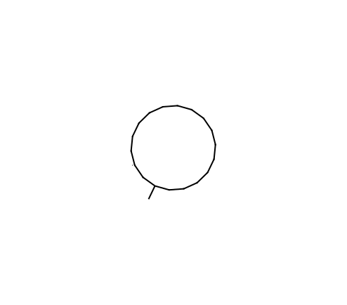 CC1C[CH]CCCCCCCCCCCCCCC1